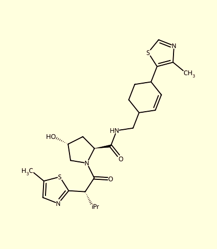 Cc1cnc([C@H](C(=O)N2C[C@H](O)C[C@H]2C(=O)NCC2C=CC(c3scnc3C)CC2)C(C)C)s1